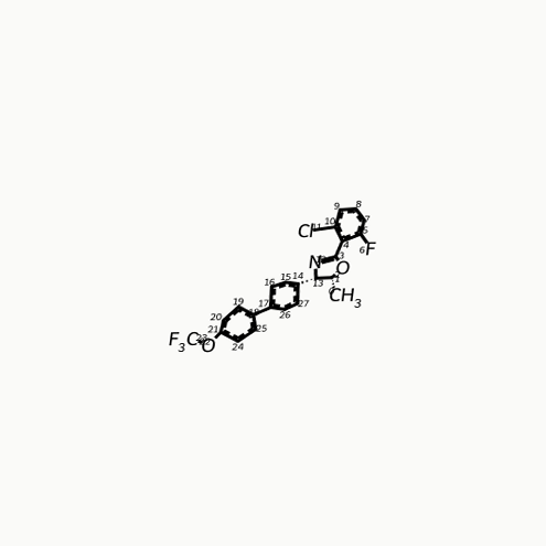 C[C@H]1OC(c2c(F)cccc2Cl)=N[C@H]1c1ccc(-c2ccc(OC(F)(F)F)cc2)cc1